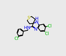 Clc1cccc(CNC2=Nc3cc(Cl)c(Cl)cc3NC23CCSCC3)c1